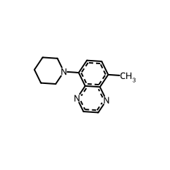 Cc1ccc(N2CCCCC2)c2nccnc12